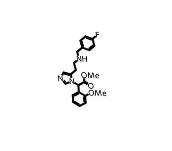 COC(=O)C(c1ccccc1OC)n1cncc1CCNCc1ccc(F)cc1